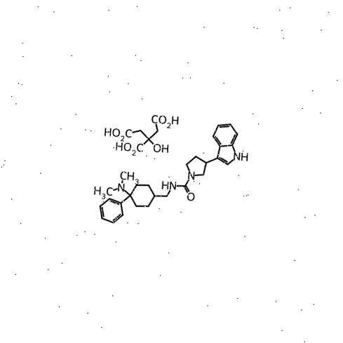 CN(C)C1(c2ccccc2)CCC(CNC(=O)N2CCC(c3c[nH]c4ccccc34)C2)CC1.O=C(O)CC(O)(CC(=O)O)C(=O)O